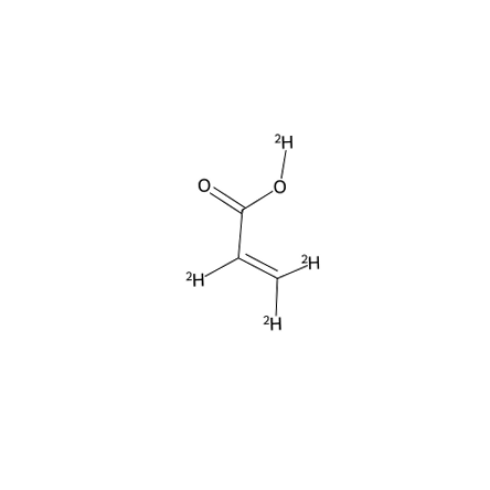 [2H]OC(=O)C([2H])=C([2H])[2H]